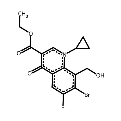 CCOC(=O)c1cn(C2CC2)c2c(CO)c(Br)c(F)cc2c1=O